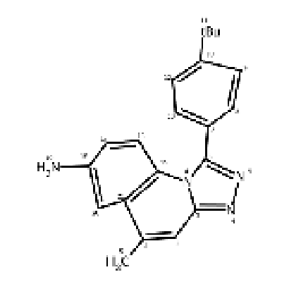 Cc1cc2nnc(-c3ccc(C(C)(C)C)cc3)n2c2ccc(N)cc12